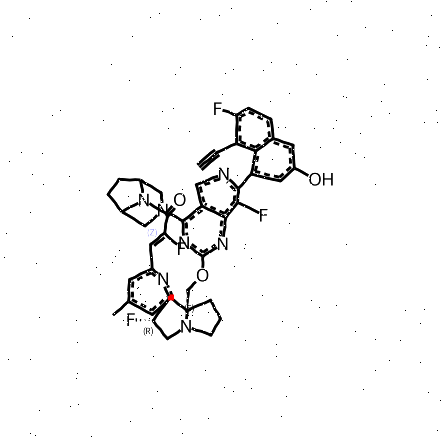 C#Cc1c(F)ccc2cc(O)cc(-c3ncc4c(N5CC6CCC(C5)N6C(=O)/C(F)=C/c5cc(C)ccn5)nc(OC[C@@]56CCCN5C[C@H](F)C6)nc4c3F)c12